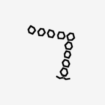 C1CCCCC1.C1CCCCC1.C1CCCCC1.C1CCCCC1.C1CCCCC1.C1CCCCC1.C1CCCCC1.C1CCCCC1.C1CCCCC1.CCOCC